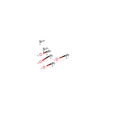 CC(C)[O-].CC(C)[O-].CC(C)[O-].CC(C)[O-].[Sr+2].[Sr+2]